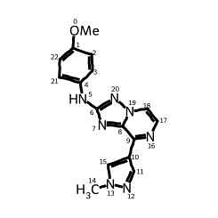 COc1ccc(Nc2nc3c(-c4cnn(C)c4)nccn3n2)cc1